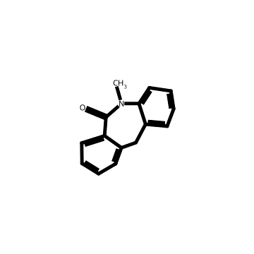 CN1C(=O)c2ccccc2Cc2ccccc21